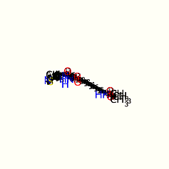 Cc1ncsc1-c1ccc(CNC(=O)C2CC(OC(=O)CCCCCCCCCCCNC(=O)OC(C)(C)C)CN2)cc1